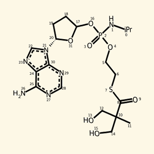 CC(C)NP(=O)(OCCSC(=O)C(C)(CO)CO)OC1CC[C@@H](n2cnc3c(N)ncnc32)O1